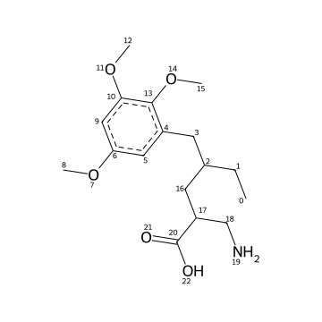 CCC(Cc1cc(OC)cc(OC)c1OC)CC(CN)C(=O)O